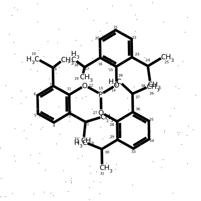 CC(C)c1cccc(C(C)C)c1OP(Oc1c(C(C)C)cccc1C(C)C)Oc1c(C(C)C)cccc1C(C)C